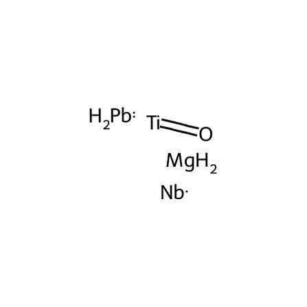 [MgH2].[Nb].[O]=[Ti].[PbH2]